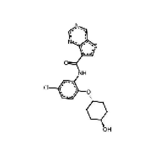 O=C(Nc1cc(Cl)ccc1O[C@H]1CC[C@H](O)CC1)c1csc2cncnc12